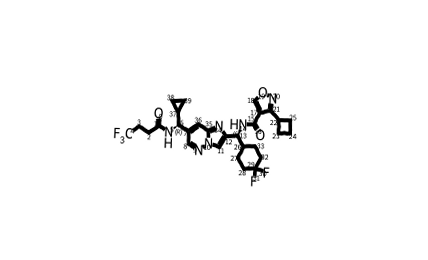 O=C(CCC(F)(F)F)N[C@@H](c1cnn2cc([C@@H](NC(=O)c3conc3C3CCC3)C3CCC(F)(F)CC3)nc2c1)C1CC1